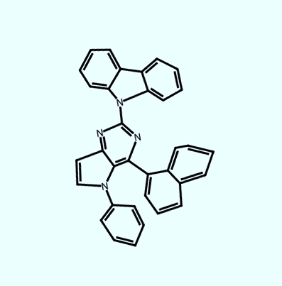 c1ccc(-n2ccc3nc(-n4c5ccccc5c5ccccc54)nc(-c4cccc5ccccc45)c32)cc1